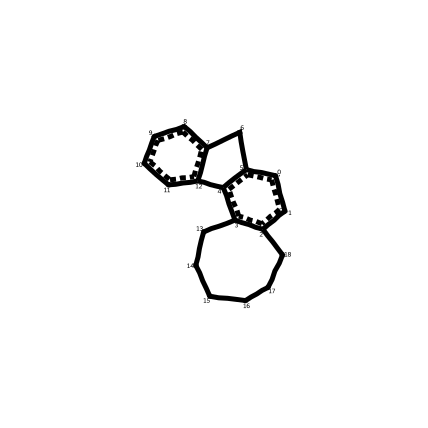 [c]1cc2c(c3c1Cc1ccccc1-3)CCCCCC2